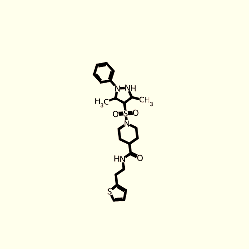 CC1NN(c2ccccc2)C(C)C1S(=O)(=O)N1CCC(C(=O)NCCc2cccs2)CC1